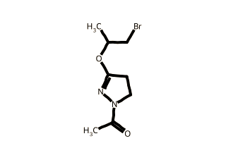 CC(=O)N1CCC(OC(C)CBr)=N1